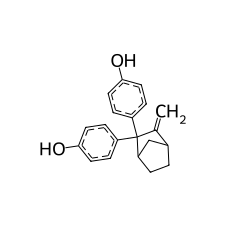 C=C1C2CCC(C2)C1(c1ccc(O)cc1)c1ccc(O)cc1